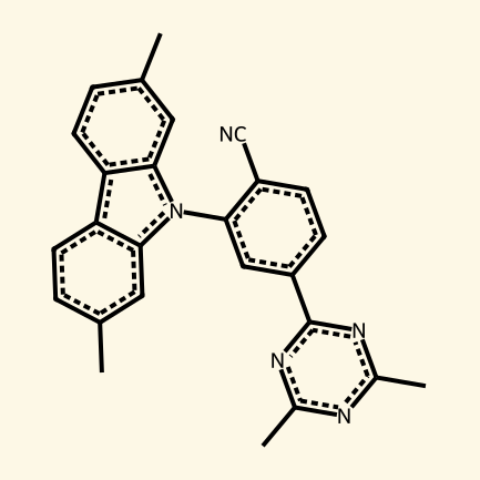 Cc1ccc2c3ccc(C)cc3n(-c3cc(-c4nc(C)nc(C)n4)ccc3C#N)c2c1